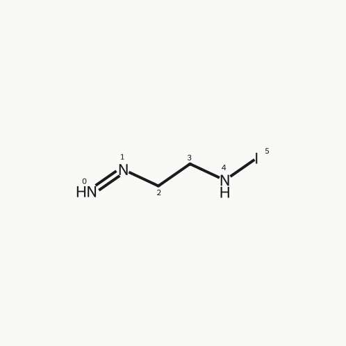 N=NCCNI